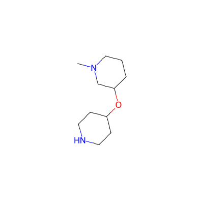 CN1CCCC(OC2CCNCC2)C1